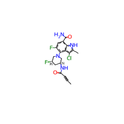 CC#CC(=O)N[C@H]1C[C@@H](F)CN(c2c(F)cc(C(N)=O)c3[nH]c(C)c(Cl)c23)C1